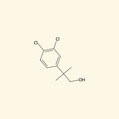 CC(C)(CO)c1ccc(Cl)c(Cl)c1